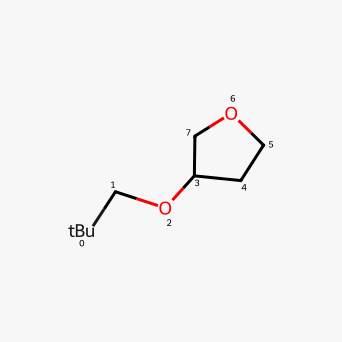 CC(C)(C)COC1CCOC1